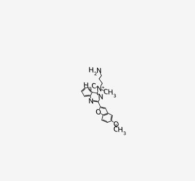 COc1ccc2oc(-c3nc([N+](C)(C)CCCN)c4ccccc4n3)cc2c1